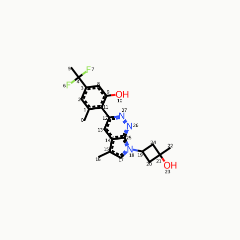 Cc1cc(C(C)(F)F)cc(O)c1-c1cc2c(C)cn(C3CC(C)(O)C3)c2nn1